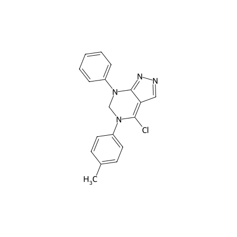 Cc1ccc(N2CN(c3ccccc3)C3=NN=CC3=C2Cl)cc1